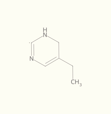 CCC1=CN=[C]NC1